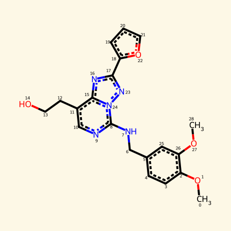 COc1ccc(CNc2ncc(CCO)c3nc(-c4ccco4)nn23)cc1OC